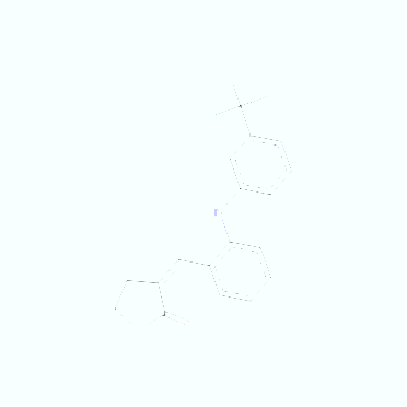 O=C1OCCC1=Cc1ccccc1Nc1cccc(C(F)(F)F)c1